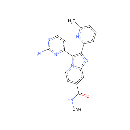 CONC(=O)c1ccn2c(-c3ccnc(N)n3)c(-c3cccc(C)n3)nc2c1